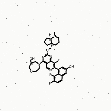 CN1CCC[C@@]2(COc3nc(N4CCOC[C@@](C)(O)C4)c4cnc(-c5cc(O)cc6ccc(F)c(F)c56)c(F)c4n3)CCC[C@@H]12